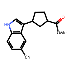 COC(=O)C1CCC(c2c[nH]c3ccc(C#N)cc23)C1